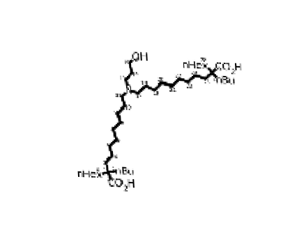 CCCCCCC(CCCC)(CCCCCCCCCN(CCCO)CCCCCCCCCC(CCCC)(CCCCCC)C(=O)O)C(=O)O